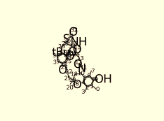 Cc1c(C)c2c(c(C)c1O)C(=NOCC(=O)OC(C)(C)C)CC(C)(CCOc1ccc(CC3SC(=O)NC3=O)cc1)O2